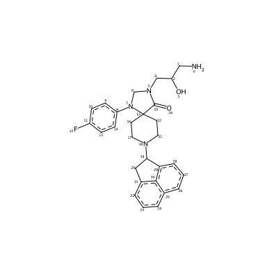 NCC(O)CN1CN(c2ccc(F)cc2)C2(CCN(C3Cc4cccc5cccc3c45)CC2)C1=O